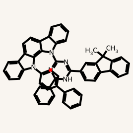 CC1(C)c2ccccc2-c2ccc(C3=NC(n4c5ccccc5c5ccc6c7ccccc7n(-c7ccc(-c8ccccc8)cc7)c6c54)=NC(c4ccccc4)N3)cc21